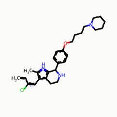 C=C/C(Cl)=C\c1c(C)[nH]c2c1CCNC2c1ccc(OCCCCN2CCCCC2)cc1